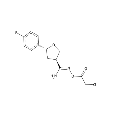 N/C(=N\OC(=O)CCl)[C@@H]1CO[C@@H](c2ccc(F)cc2)C1